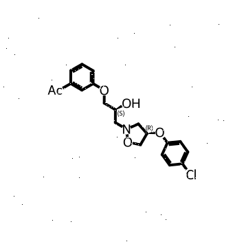 CC(=O)c1cccc(OC[C@@H](O)CN2C[C@@H](Oc3ccc(Cl)cc3)CO2)c1